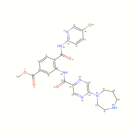 COC(=O)c1ccc(C(=O)Nc2ccc(Cl)cn2)c(NC(=O)c2cnc(N3CCCNCC3)cn2)c1